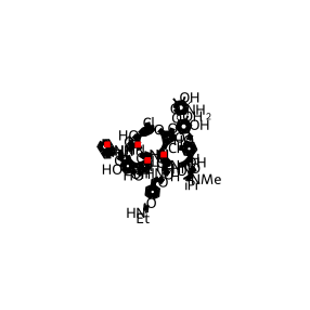 CCNCCOc1ccc(CC(=O)NC(=O)C[C@@H]2NC(=O)[C@H](NC(=O)[C@@H](CC(C)C)NC)[C@H](O)c3ccc(c(Cl)c3)Oc3cc4cc(c3O[C@@H]3C[C@H](CO)[C@@H](O)[C@H](O)[C@H]3O[C@H]3C[C@](C)(N)[C@H](O)[C@H](C)O3)Oc3ccc(cc3Cl)[C@@H](O)[C@@H]3NC(=O)[C@H](NC(=O)[C@@H]4NC2=O)c2ccc(O)c(c2)-c2c(O)cc(O)cc2[C@@H](C(=O)NC2C4CC5CC(C4)CC2C5)NC3=O)cc1